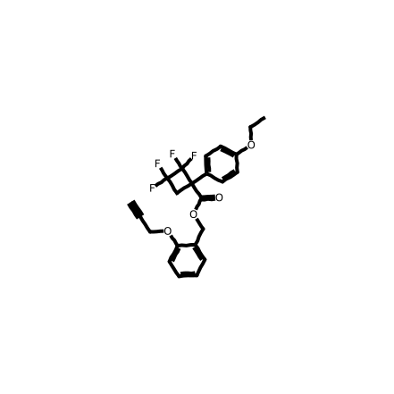 C#CCOc1ccccc1COC(=O)C1(c2ccc(OCC)cc2)CC(F)(F)C1(F)F